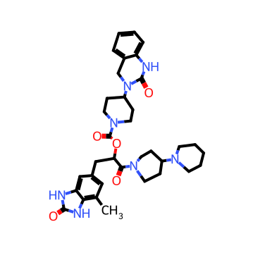 Cc1cc(CC(OC(=O)N2CCC(N3Cc4ccccc4NC3=O)CC2)C(=O)N2CCC(N3CCCCC3)CC2)cc2[nH]c(=O)[nH]c12